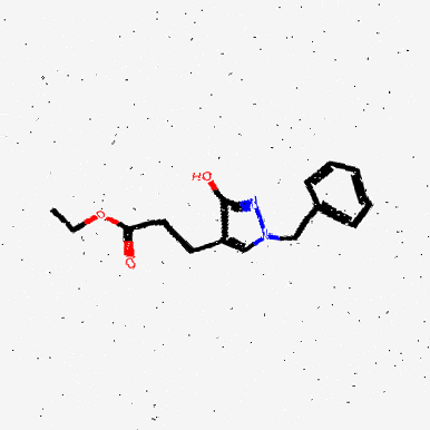 CCOC(=O)CCc1cn(Cc2ccccc2)nc1O